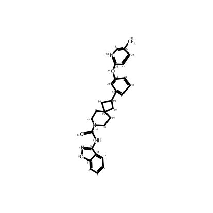 O=C(Nc1noc2ccccc12)N1CCC2(CC1)CC(c1cccc(Oc3ccc(C(F)(F)F)cn3)c1)C2